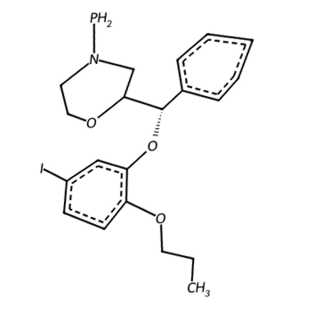 CCCOc1ccc(I)cc1O[C@@H](c1ccccc1)C1CN(P)CCO1